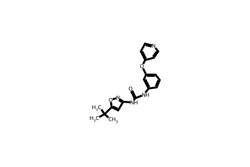 CC(C)(C)c1cc(NC(=O)Nc2cccc(Oc3ccncc3)c2)no1